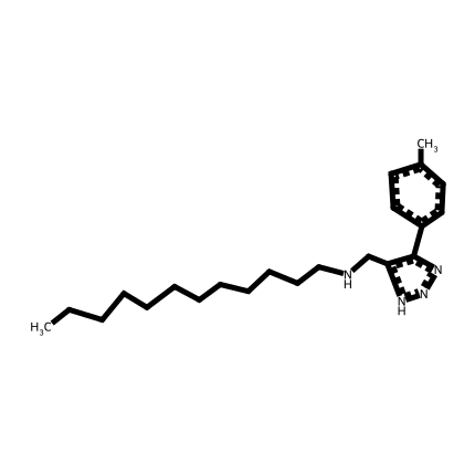 CCCCCCCCCCCCNCc1[nH]nnc1-c1ccc(C)cc1